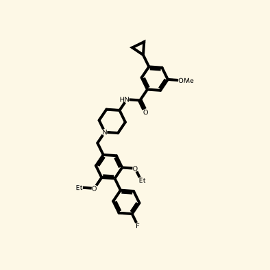 CCOc1cc(CN2CCC(NC(=O)c3cc(OC)cc(C4CC4)c3)CC2)cc(OCC)c1-c1ccc(F)cc1